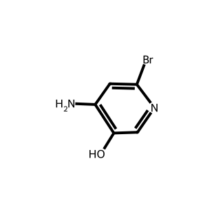 Nc1cc(Br)ncc1O